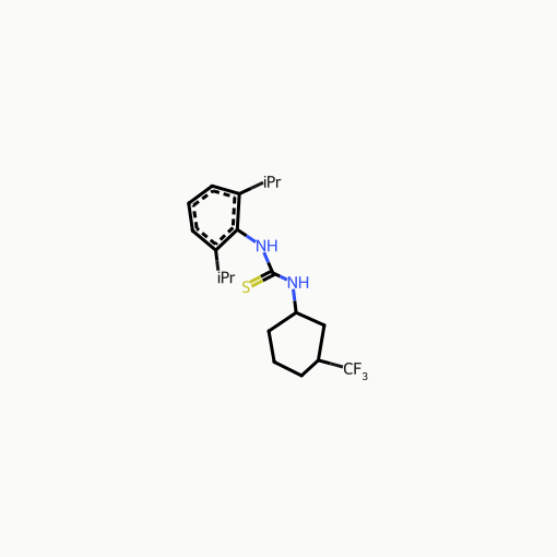 CC(C)c1cccc(C(C)C)c1NC(=S)NC1CCCC(C(F)(F)F)C1